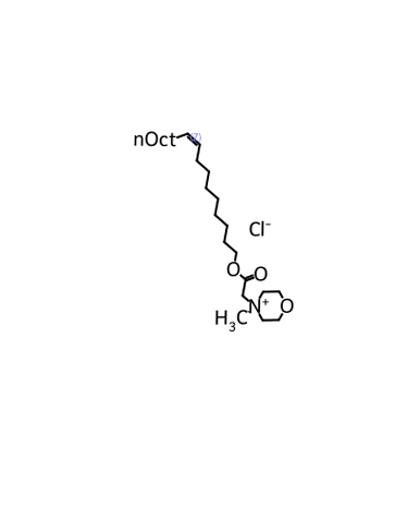 CCCCCCCC/C=C\CCCCCCCCOC(=O)C[N+]1(C)CCOCC1.[Cl-]